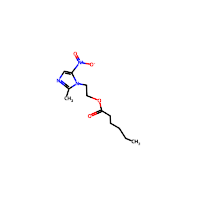 CCCCCC(=O)OCCn1c([N+](=O)[O-])cnc1C